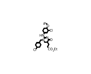 CCOC(=O)CCC1CN(CC2=CCC(Cl)CC2)C(NC2=CC(Cl)C(OC(C)C)CC2)=NC1=O